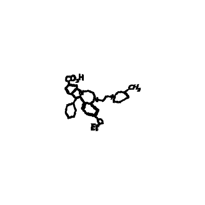 CCOc1ccc2c(c1)N(CCN1CCCC(C)C1)CCn1c-2c(C2CCCCC2)c2ccc(C(=O)O)cc21